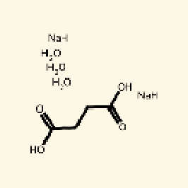 O.O.O.O=C(O)CCC(=O)O.[NaH].[NaH]